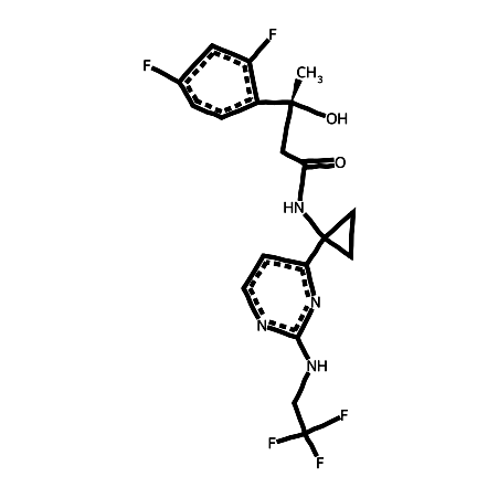 C[C@@](O)(CC(=O)NC1(c2ccnc(NCC(F)(F)F)n2)CC1)c1ccc(F)cc1F